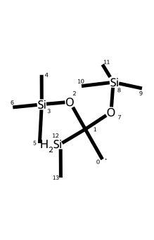 [CH2]C(O[Si](C)(C)C)(O[Si](C)(C)C)[SiH2]C